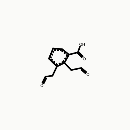 O=CCc1cccc(C(=O)O)c1CC=O